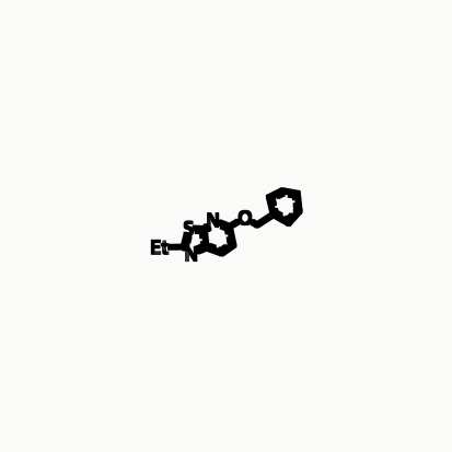 CCc1nc2ccc(OCc3ccccc3)nc2s1